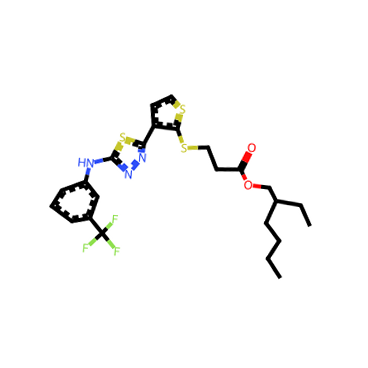 CCCCC(CC)COC(=O)CCSc1sccc1-c1nnc(Nc2cccc(C(F)(F)F)c2)s1